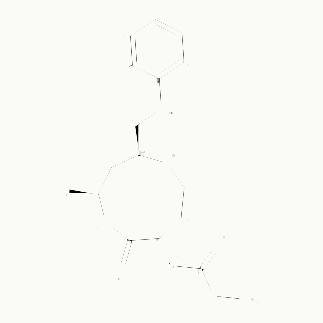 CCCC[C@H]1[C@H](C)OC(=O)[C@@H](NC(=O)OC(C)(C)C)CCO[C@@H]1COc1ccccc1